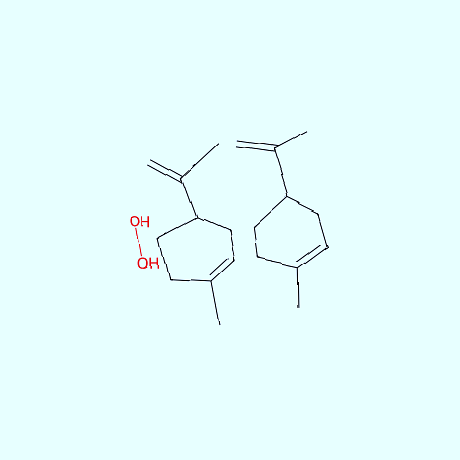 C=C(C)C1CC=C(C)CC1.C=C(C)C1CC=C(C)CC1.OO